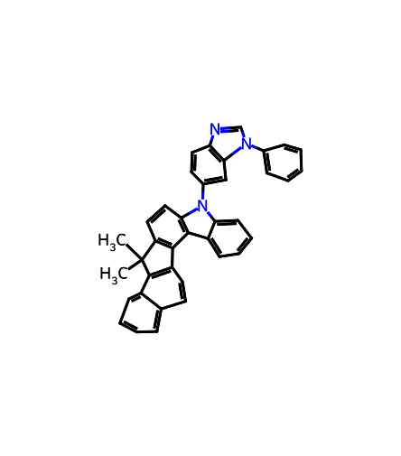 CC1(C)c2ccc3c(c2-c2ccc4ccccc4c21)c1ccccc1n3-c1ccc2ncn(-c3ccccc3)c2c1